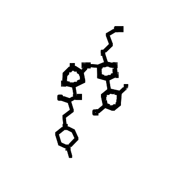 CN1CCN(CCC(=O)Nc2cc(Nc3cc(-c4cc(Cl)ccc4F)nnc3SCCO)ncn2)CC1